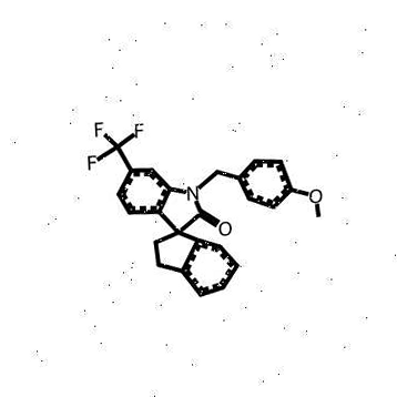 COc1ccc(CN2C(=O)C3(CCc4ccccc43)c3ccc(C(F)(F)F)cc32)cc1